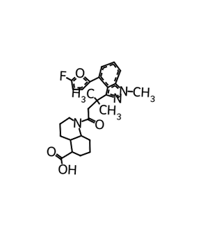 Cn1nc(C(C)(C)CC(=O)N2CCCC3C(C(=O)O)CCCC32)c2c(-c3ccc(F)o3)cccc21